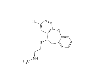 CNCCSC1Cc2ccccc2Oc2ccc(Cl)cc21